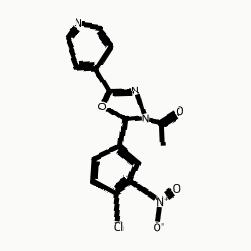 CC(=O)N1N=C(c2ccncc2)OC1c1ccc(Cl)c([N+](=O)[O-])c1